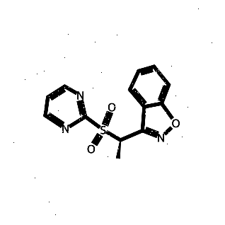 C[C@H](c1noc2ccccc12)S(=O)(=O)c1ncccn1